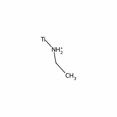 CC[NH2+][Ti]